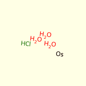 Cl.O.O.O.[Os]